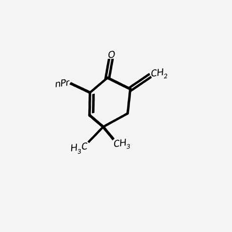 C=C1CC(C)(C)C=C(CCC)C1=O